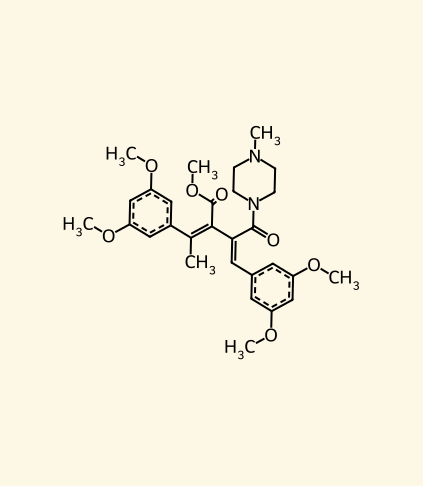 COC(=O)C(C(=Cc1cc(OC)cc(OC)c1)C(=O)N1CCN(C)CC1)=C(C)c1cc(OC)cc(OC)c1